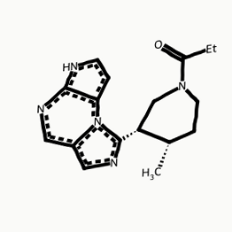 CCC(=O)N1CC[C@H](C)[C@H](c2ncc3cnc4[nH]ccc4n23)C1